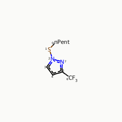 CCCCCSn1ccc(C(F)(F)F)n1